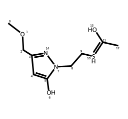 COCc1cc(O)n(CC[SH]=C(C)O)n1